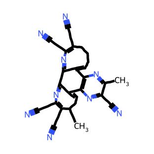 Cc1nc2/c3c(c4/c(c2nc1C#N)=C/CC(C)/C(C#N)=C(C#N)\N=4)=N/C(C#N)=C(/C#N)CCC/C=3